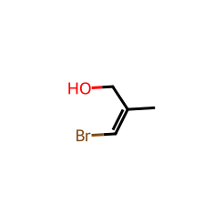 CC(=CBr)CO